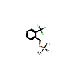 [CH3][Sn]([CH3])([CH3])[S]Cc1ccccc1C(F)(F)F